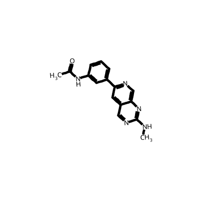 CNc1ncc2cc(-c3cccc(NC(C)=O)c3)ncc2n1